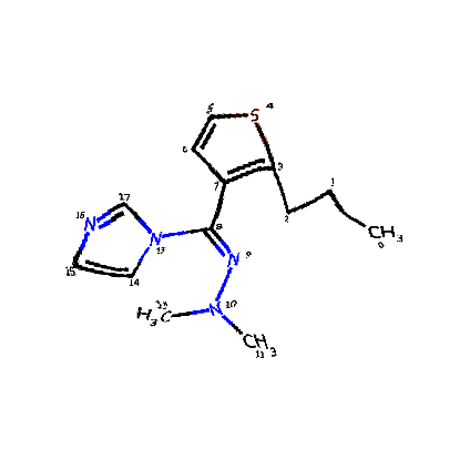 CCCc1sccc1C(=NN(C)C)n1ccnc1